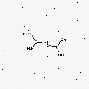 CC(C)C(N)C(=O)O.OB(O)O